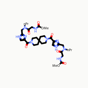 CCCN(Cc1nc(C(=O)N2CCC3(CC2)CCN(C(=O)c2c[nH]c(CN(CCC)C(=O)CNC(=O)OC)n2)CC3)c[nH]1)C(=O)CNC(=O)OC